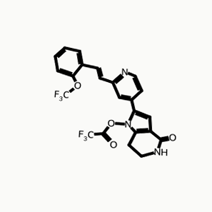 O=C1NCCc2c1cc(-c1ccnc(C=Cc3ccccc3OC(F)(F)F)c1)n2OC(=O)C(F)(F)F